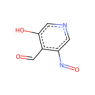 O=Cc1c(O)cncc1N=O